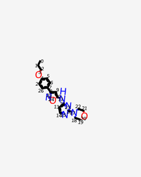 CCCOc1ccc(-c2cc(Nc3ccnc(N4CCOCC4)n3)on2)cc1